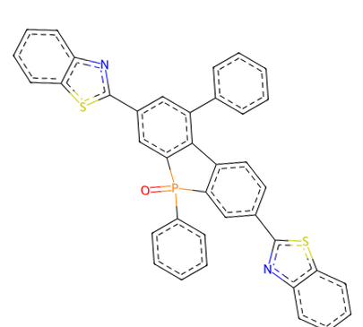 O=P1(c2ccccc2)c2cc(-c3nc4ccccc4s3)ccc2-c2c(-c3ccccc3)cc(-c3nc4ccccc4s3)cc21